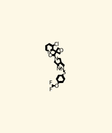 O=C(N1Cc2cn(Sc3ccc(OC(F)F)cc3)nc2C1)C1(c2ncccc2Cl)COC1